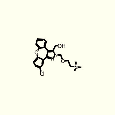 C[Si](C)(C)CCOCn1nc2c(c1CO)-c1ccccc1Oc1ccc(Cl)cc1-2